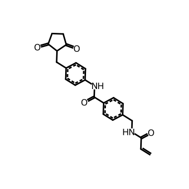 C=CC(=O)NCc1ccc(C(=O)Nc2ccc(CC3C(=O)CCC3=O)cc2)cc1